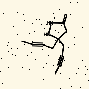 CC#CCC1(CC#CC)CC(=O)NN1